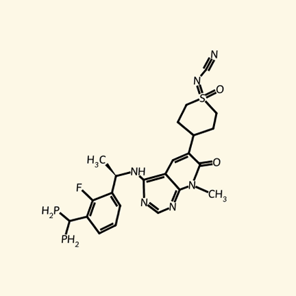 C[C@@H](Nc1ncnc2c1cc(C1CCS(=O)(=NC#N)CC1)c(=O)n2C)c1cccc(C(P)P)c1F